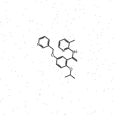 C=C(Nc1ncccc1C)c1cc(OCc2cccnc2)ccc1OC(C)C